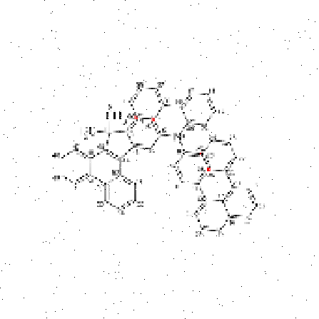 CC1(C)c2ccc(N(c3ccc(-c4cccc5cccc(-c6ccccc6)c45)cc3)c3ccccc3-c3ccccc3)cc2-c2c1c1ccccc1c1ccccc21